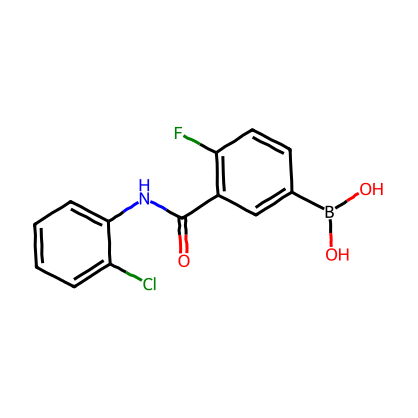 O=C(Nc1ccccc1Cl)c1cc(B(O)O)ccc1F